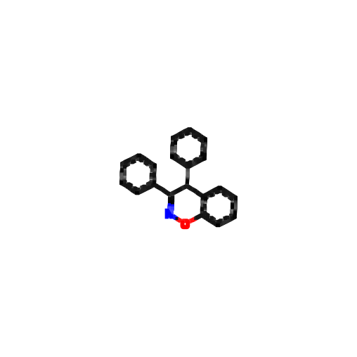 c1ccc(C2=NOc3ccccc3C2c2ccccc2)cc1